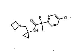 O=C(NC1(CN2CCC2)CC1)C(F)(F)c1ccc(Cl)cn1